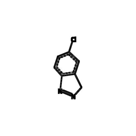 Clc1ccc2c(c1)CN=N2